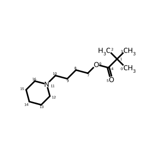 CC(C)(C)C(=O)OCCCCN1CCCCC1